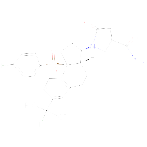 NC(=O)C1CC(=O)N([C@@H]2CC[C@@]3(S(=O)(=O)c4ccc(F)cc4)c4ccc(C(F)(C(F)(F)F)C(F)(F)F)cc4CC[C@@H]23)C1